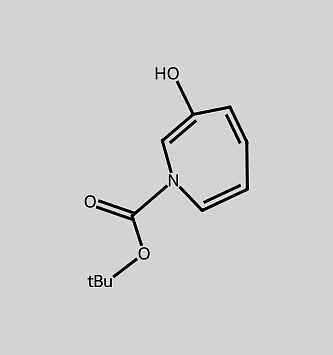 CC(C)(C)OC(=O)N1C=CC=CC(O)=C1